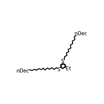 [CH2]Cc1cc(SCCCCCCCCCCCCCCCCCCCCCCC)cc(SCCCCCCCCCCCCCCCCCCCCCCC)c1